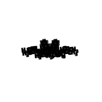 CC(C)[C@H](NC(=O)CNC(=O)OC(C)(C)C)C(=O)N[C@@H](Cc1ccccc1)C(O)[C@H](Cc1ccccc1)NC(=O)[C@@H](NC(=O)CNC(=O)OC(C)(C)C)C(C)C